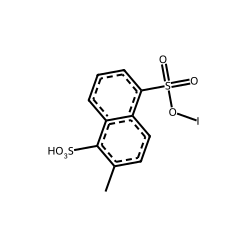 Cc1ccc2c(S(=O)(=O)OI)cccc2c1S(=O)(=O)O